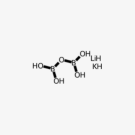 OB(O)OB(O)O.[KH].[LiH]